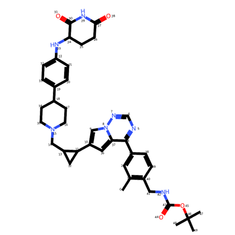 Cc1cc(-c2ncnn3cc(C4CC4CN4CCC(c5ccc(NC6CCC(=O)NC6=O)cc5)CC4)cc23)ccc1CNC(=O)OC(C)(C)C